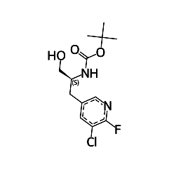 CC(C)(C)OC(=O)N[C@H](CO)Cc1cnc(F)c(Cl)c1